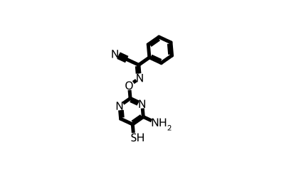 N#C/C(=N\Oc1ncc(S)c(N)n1)c1ccccc1